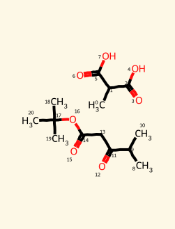 CC(C(=O)O)C(=O)O.CC(C)C(=O)CC(=O)OC(C)(C)C